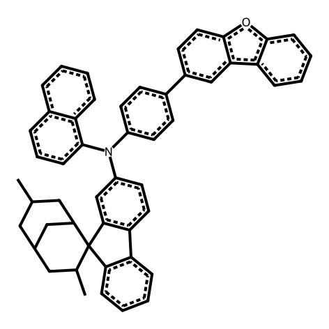 CC1CC2CC(C)C3(c4ccccc4-c4ccc(N(c5ccc(-c6ccc7oc8ccccc8c7c6)cc5)c5cccc6ccccc56)cc43)C(C1)C2